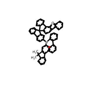 CC1(C)c2ccccc2-c2ccc(N(c3ccc4c(c3)C3(c5ccccc5-4)c4ccccc4-c4c3ccc3c4oc4ccccc43)c3ccccc3-c3ccccc3)cc21